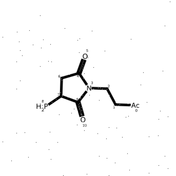 CC(=O)CCN1C(=O)CC(P)C1=O